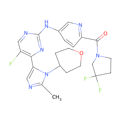 Cc1ncc(-c2nc(Nc3ccc(C(=O)N4CCC(F)(F)C4)nc3)ncc2F)n1C1CCOCC1